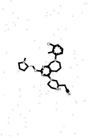 Cc1c(Cl)cccc1N1CCCc2c(nc(OC[C@@H]3CCCN3C)nc2N2CCNC(CC#N)C2)C1